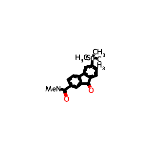 CNC(=O)c1ccc2c(c1)C(=O)c1cc[c]([Sn]([CH3])([CH3])[CH3])cc1-2